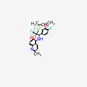 COc1c(F)ccc(C(Nc2cccc3nc(C)ccc23)C(O)(CSC(C)C)C(F)(F)F)c1F